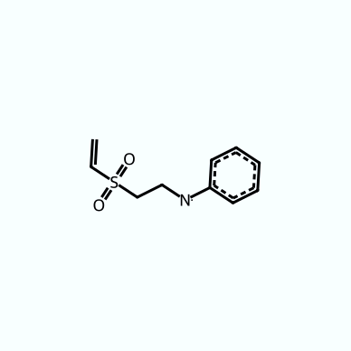 C=CS(=O)(=O)CC[N]c1ccccc1